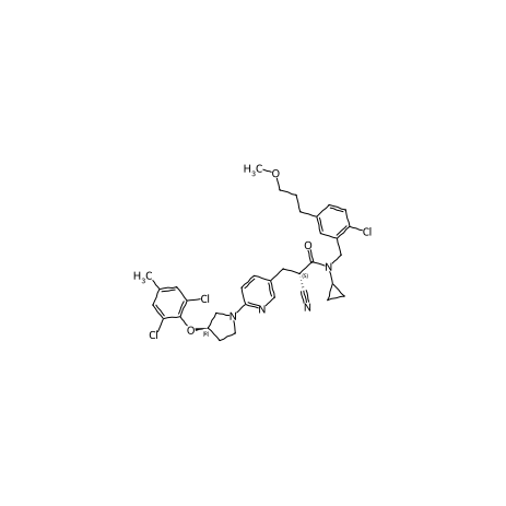 COCCCc1ccc(Cl)c(CN(C(=O)[C@H](C#N)Cc2ccc(N3CC[C@@H](Oc4c(Cl)cc(C)cc4Cl)C3)nc2)C2CC2)c1